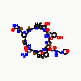 Cc1sc2nc1C(=O)N[C@@H]([C@H](OCC(=O)NCCN1CCOCC1)c1ccccc1)c1nc(cs1)C(=O)N[C@@H](Cc1ccc(O)cc1)C(=O)N1C[C@H](O)[C@H](C)[C@H]1c1nc(cs1)-c1nc(cs1)-c1nc(-c3nc(C(N)=O)cs3)ccc1-c1nc(cs1)C(=O)N[C@H]2CC(N)=O